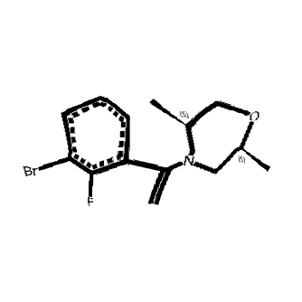 C=C(c1cccc(Br)c1F)N1C[C@H](C)OC[C@@H]1C